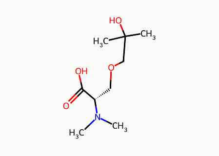 CN(C)[C@@H](COCC(C)(C)O)C(=O)O